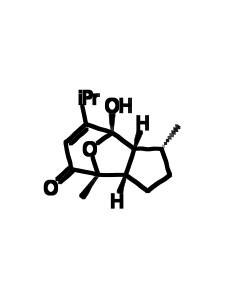 CC(C)C1=CC(=O)[C@]2(C)O[C@@]1(O)[C@@H]1[C@H](C)CC[C@@H]12